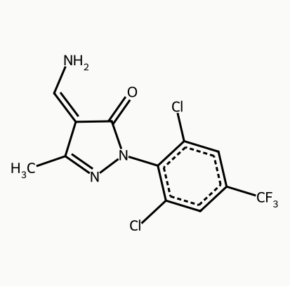 CC1=NN(c2c(Cl)cc(C(F)(F)F)cc2Cl)C(=O)C1=CN